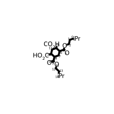 CC(C)CCOC(=O)C1CC(C(=O)OCCC(C)C)C(C(=O)O)CC1C(=O)O